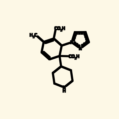 CC1=C(C(=O)O)C(n2cccn2)C(C(=O)O)(C2CCNCC2)C=C1